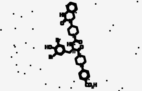 O=C(O)c1ccc(N2CCN(C(=O)[C@@H](Cc3cc(Br)c(O)c(Br)c3)NC(=O)N3CCC(N4Cc5ccccc5NC4=O)CC3)CC2)cc1